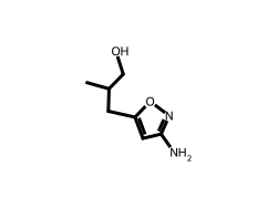 CC(CO)Cc1cc(N)no1